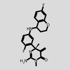 C=C1C(=O)N(C)C(N)=N[C@]1(C)c1cc(NC2CCOc3cc(F)ccc32)ccc1F